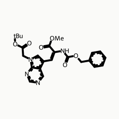 COC(=O)/C(=C\c1cn(CC(=O)OC(C)(C)C)c2ncncc12)NC(=O)OCc1ccccc1